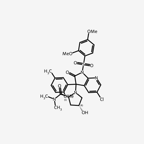 COc1ccc(S(=O)(=O)N2C(=O)C(c3cc(C)ccc3OC)(N3C[C@H](O)C[C@H]3C(=O)N(C)C)c3cc(Cl)cnc32)c(OC)c1